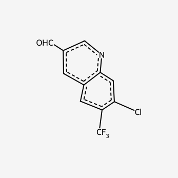 O=Cc1cnc2cc(Cl)c(C(F)(F)F)cc2c1